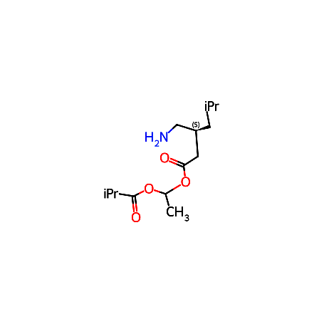 CC(C)C[C@H](CN)CC(=O)OC(C)OC(=O)C(C)C